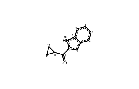 O=C(c1cc2ccccc2[nH]1)C1CC1